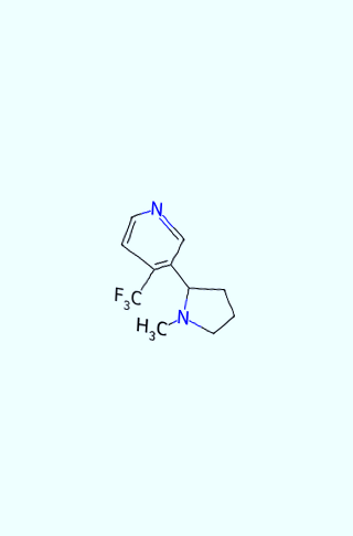 CN1CCCC1c1cnccc1C(F)(F)F